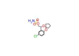 NS(=O)(=O)OCC1OC2(CCCC2)Oc2ccc(Cl)cc21